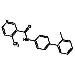 Cc1ccccc1-c1ccc(NC(=O)c2cnccc2C(F)(F)F)cc1